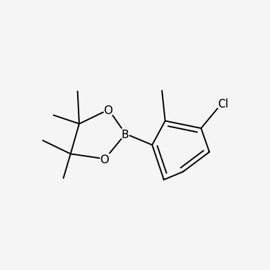 Cc1c(Cl)cccc1B1OC(C)(C)C(C)(C)O1